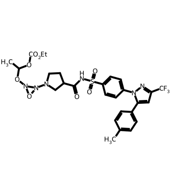 CCOC(=O)OC(C)On1on1N1CCC(C(=O)NS(=O)(=O)c2ccc(-n3nc(C(F)(F)F)cc3-c3ccc(C)cc3)cc2)C1